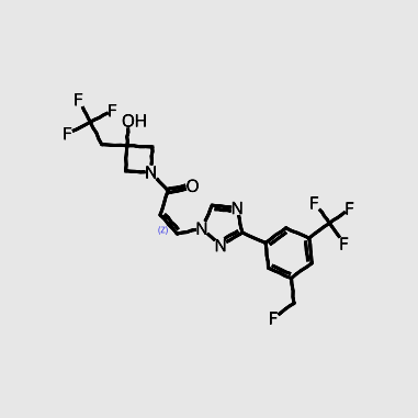 O=C(/C=C\n1cnc(-c2cc(CF)cc(C(F)(F)F)c2)n1)N1CC(O)(CC(F)(F)F)C1